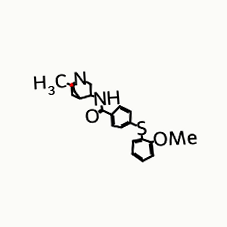 COc1ccccc1Sc1ccc(C(=O)NC2CN3CCC2CC3C)cc1